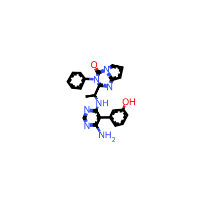 CC(Nc1ncnc(N)c1-c1cccc(O)c1)c1nc2cccn2c(=O)n1-c1ccccc1